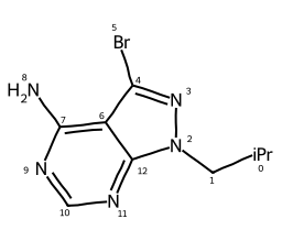 CC(C)Cn1nc(Br)c2c(N)ncnc21